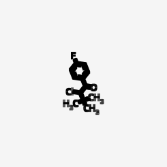 CC(C)(C)C(Cl)C(=O)c1ccc(F)cc1